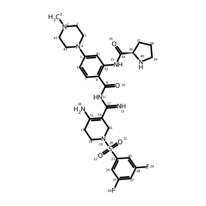 CN1CCN(c2ccc(C(=O)NC(=N)C3=C(N)CCN(S(=O)(=O)c4cc(F)cc(F)c4)C3)c(NC(=O)[C@H]3CCCN3)c2)CC1